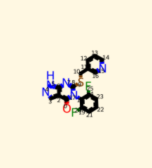 O=c1c2cn[nH]c2nc(SCc2cccnc2)n1-c1c(F)cccc1F